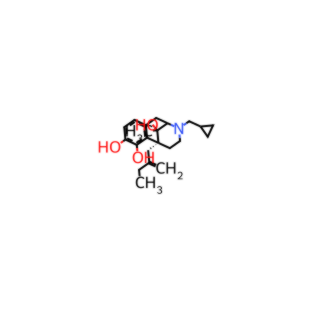 C=C(CC)C[C@]12CCN(CC3CC3)C(Cc3ccc(O)c(O)c31)C2(C)O